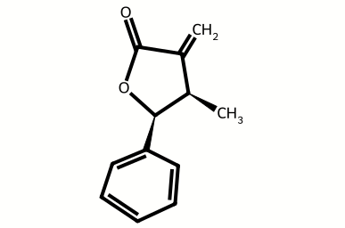 C=C1C(=O)O[C@H](c2ccccc2)[C@@H]1C